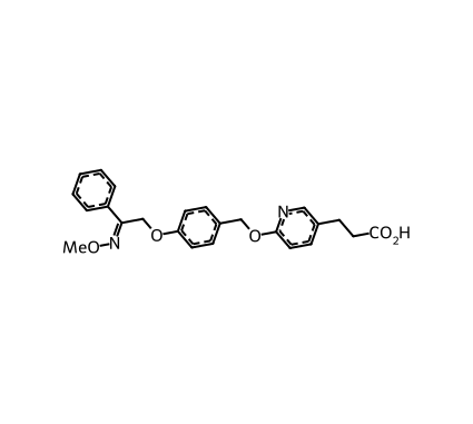 CON=C(COc1ccc(COc2ccc(CCC(=O)O)cn2)cc1)c1ccccc1